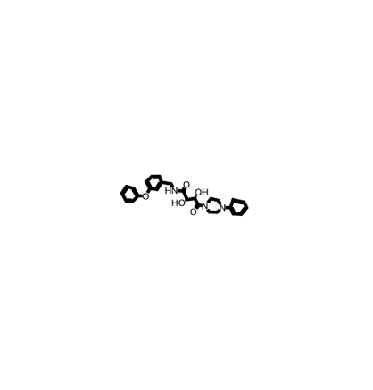 O=C(NCc1cccc(Oc2ccccc2)c1)[C@H](O)[C@@H](O)C(=O)N1CCN(c2ccccc2)CC1